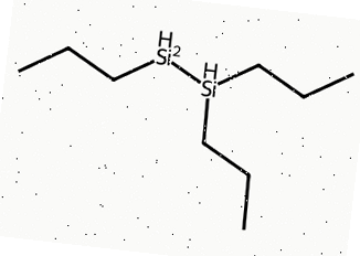 CCC[SiH2][SiH](CCC)CCC